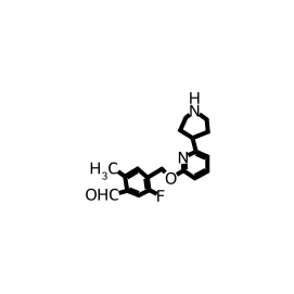 Cc1cc(COc2cccc(C3CCNCC3)n2)c(F)cc1C=O